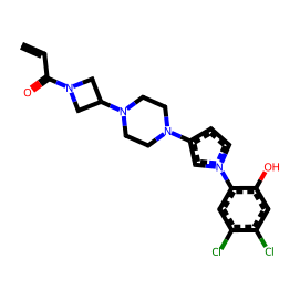 C=CC(=O)N1CC(N2CCN(c3ccn(-c4cc(Cl)c(Cl)cc4O)c3)CC2)C1